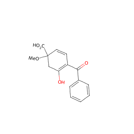 COC1(C(=O)O)C=CC(C(=O)c2ccccc2)=C(O)C1